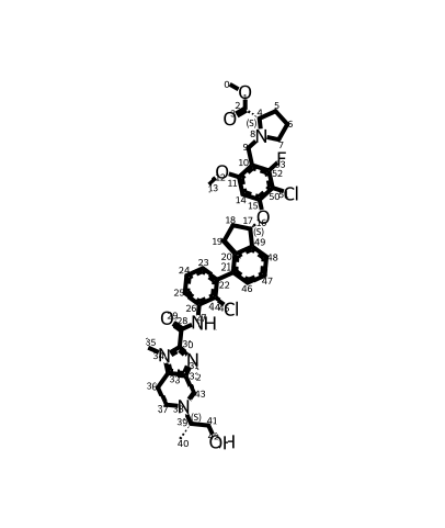 COC(=O)[C@@H]1CCCN1Cc1c(OC)cc(O[C@H]2CCc3c(-c4cccc(NC(=O)c5nc6c(n5C)CCN([C@@H](C)CO)C6)c4Cl)cccc32)c(Cl)c1F